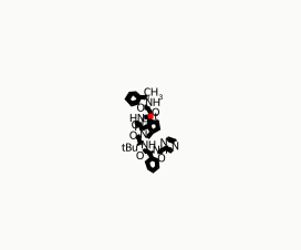 CCC12CCC3CN(C(=O)[C@@H](NC(=O)[C@@H](NC(=O)c4cnccn4)C4CCCCC4)C(C)(C)C)[C@H](C(=O)N[C@@H]1C(=O)C(=O)N[C@@H](C)c1ccccc1)[C@H]32